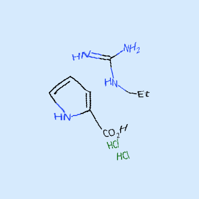 CCNC(=N)N.Cl.Cl.O=C(O)c1ccc[nH]1